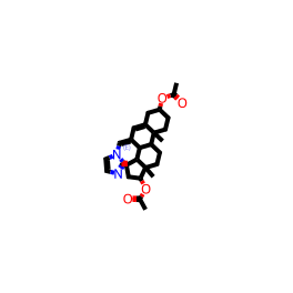 CC(=O)OC1CCC2(C)C(=C/C(=C/n3ccnc3)C3C2CCC2(C)C(OC(C)=O)CCC32)C1